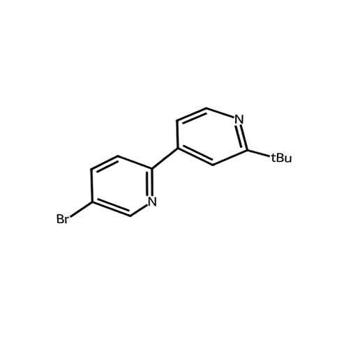 CC(C)(C)c1cc(-c2ccc(Br)cn2)ccn1